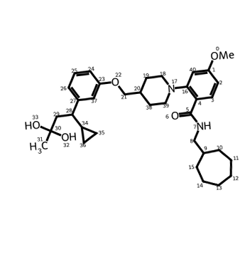 COc1ccc(C(=O)NCC2CCCCCC2)c(N2CCC(COc3cccc(C(CC(C)(O)O)C4CC4)c3)CC2)c1